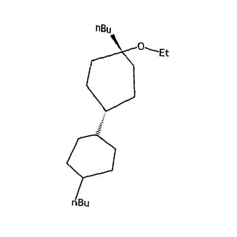 CCCCC1CCC([C@H]2CC[C@@](CCCC)(OCC)CC2)CC1